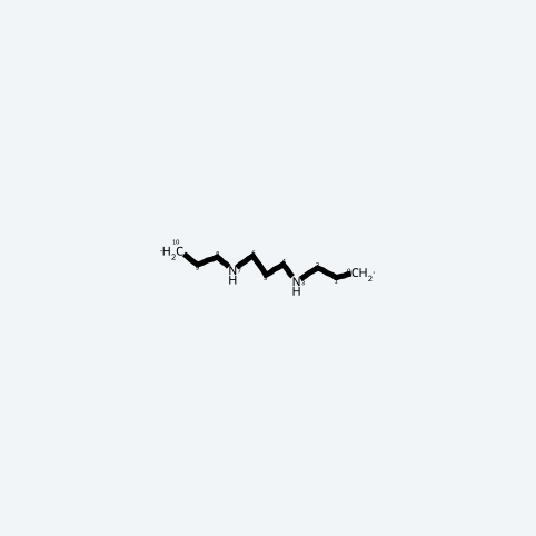 [CH2]CCNCCCNCC[CH2]